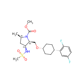 COC(=O)N1[C@H](C)C[C@H](NS(C)(=O)=O)[C@@H]1CO[C@H]1CC[C@@H](c2cc(F)ccc2F)CC1